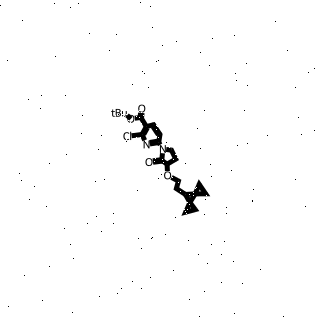 CC(C)(C)OC(=O)c1ccc(N2CCC(OCCC3C4(CC4)C34CC4)C2=O)nc1Cl